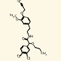 C#CCOc1ccc(CCNC(=O)C(OCCC)c2ccc(Cl)c(Cl)c2)cc1OC